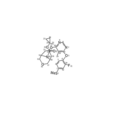 CSc1ccc(Oc2ncnc(OC3CC4COCC(C3)N4C(=O)OC3(C)CC3)c2C)c(F)c1